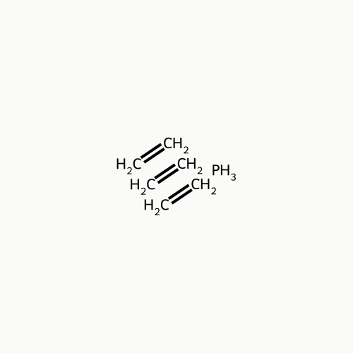 C=C.C=C.C=C.P